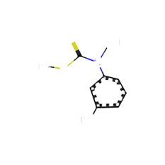 CCC(C)SC(=S)N(C)c1cccc(C)c1